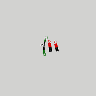 [C]=O.[C]=O.[Cl][Pd][Cl]